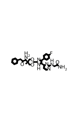 CC1(C(N)C(=O)Cc2ccccc2)COC(c2nc(-c3ccc(F)cc3)c(-c3ccnc(NCC(N)=O)n3)[nH]2)OC1